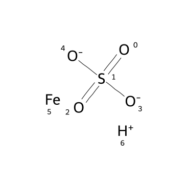 O=S(=O)([O-])[O-].[Fe].[H+]